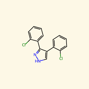 Clc1ccccc1-c1c[nH]nc1-c1ccccc1Cl